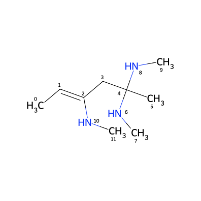 CC=C(CC(C)(NC)NC)NC